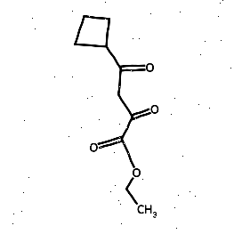 CCOC(=O)C(=O)CC(=O)C1CCC1